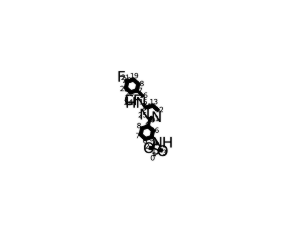 CS(=O)(=O)Nc1cccc(-c2nccc(NCc3ccc(F)cc3C(F)(F)F)n2)c1